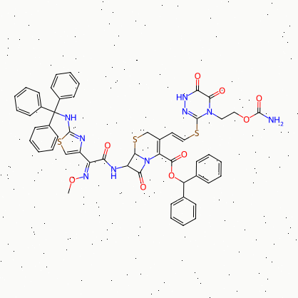 CON=C(C(=O)NC1C(=O)N2C(C(=O)OC(c3ccccc3)c3ccccc3)=C(C=CSc3n[nH]c(=O)c(=O)n3CCOC(N)=O)CSC12)c1csc(NC(c2ccccc2)(c2ccccc2)c2ccccc2)n1